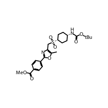 COC(=O)c1ccc(-c2nc(CS(=O)(=O)[C@H]3CC[C@@H](NC(=O)OC(C)(C)C)CC3)c(C)o2)cc1